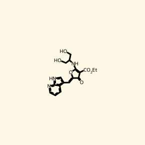 CCOC(=O)C1=C(NC(CO)CO)OC(=Cc2c[nH]c3ncccc23)C1=O